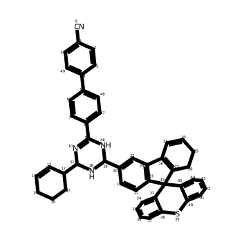 N#Cc1ccc(-c2ccc(C3=NC(C4C=CCCC4)NC(c4ccc5c(c4)C4=C(CCC=C4)C54c5ccccc5Sc5ccccc54)N3)cc2)cc1